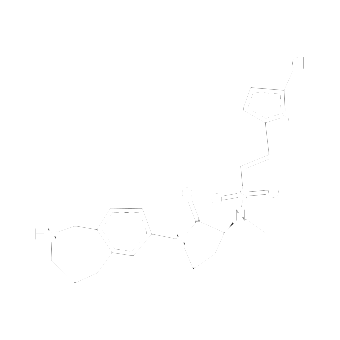 CN([C@H]1CCN(c2ccc3c(c2)CCCNC3)C1=O)S(=O)(=O)/C=C/c1ccc(Cl)s1